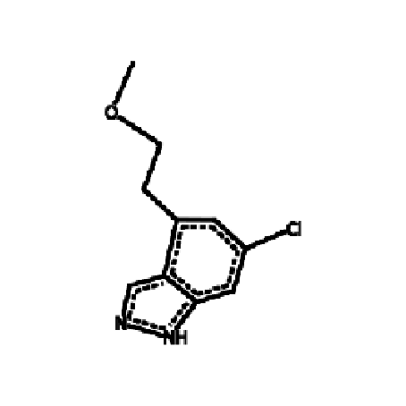 COCCc1cc(Cl)cc2[nH]ncc12